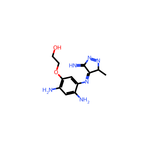 CC1N=NC(=N)C1=Nc1cc(OCCO)c(N)cc1N